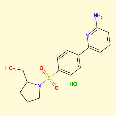 Cl.Nc1cccc(-c2ccc(S(=O)(=O)N3CCCC3CO)cc2)n1